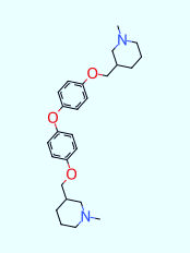 CN1CCCC(COc2ccc(Oc3ccc(OCC4CCCN(C)C4)cc3)cc2)C1